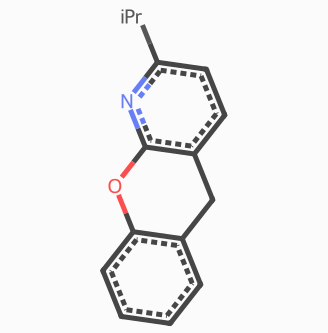 CC(C)c1ccc2c(n1)Oc1ccccc1C2